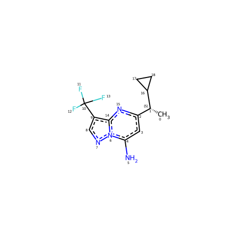 C[C@H](c1cc(N)n2ncc(C(F)(F)F)c2n1)C1CC1